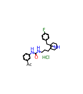 CC(=O)c1cccc(NC(=O)NCCCC2NC3CCC2(Cc2ccc(F)cc2)CC3)c1.Cl